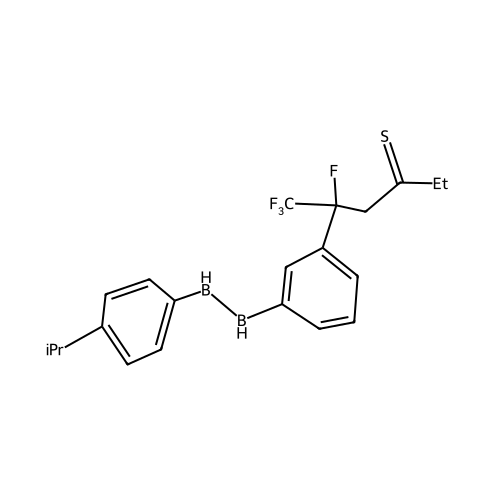 CCC(=S)CC(F)(c1cccc(BBc2ccc(C(C)C)cc2)c1)C(F)(F)F